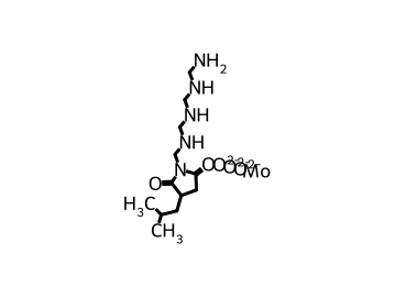 CC(C)CC1CC(=O)N(CNCNCNCN)C1=O.[Mo].[O-2].[O-2].[O-2]